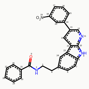 O=C(NCCc1ccc2[nH]c3ncc(-c4cccc([N+](=O)[O-])c4)cc3c2c1)c1ccccc1